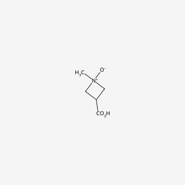 C[N+]1([O-])CC(C(=O)O)C1